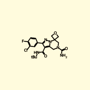 CC(C)(C)NC(=O)c1c(-c2ccc(F)c(Cl)c2)nn2c1CN(C(N)=O)CC21COC1